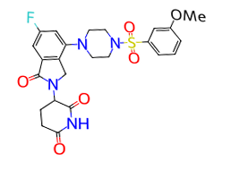 COc1cccc(S(=O)(=O)N2CCN(c3cc(F)cc4c3CN(C3CCC(=O)NC3=O)C4=O)CC2)c1